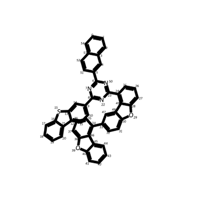 c1ccc2cc(-c3nc(-c4ccc5c(c4)sc4ccccc45)nc(-c4cccc5oc6ccc(-c7cccc8oc9ccccc9c78)cc6c45)n3)ccc2c1